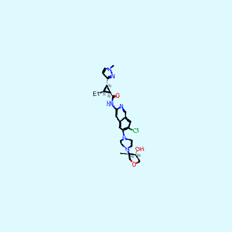 CC[C@@H]1[C@H](C(=O)Nc2cc3cc(N4CCN([C@@]5(C)COC[C@H]5O)CC4)c(Cl)cc3cn2)[C@H]1c1ccn(C)n1